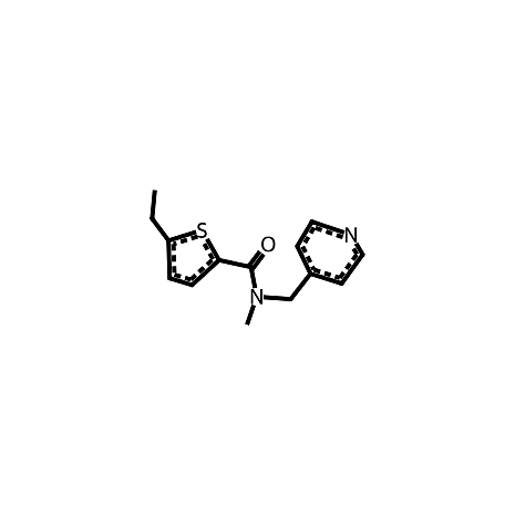 CCc1ccc(C(=O)N(C)Cc2ccncc2)s1